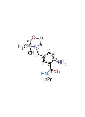 CCCNC(=O)c1cc(CN2CCOCC2(C)C)ccc1N